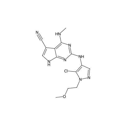 CNc1nc(Nc2cnn(CCOC)c2Cl)nc2[nH]cc(C#N)c12